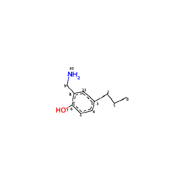 CCCc1ccc(O)c(CN)c1